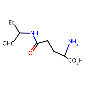 CCC(C=O)NC(=O)CCC(N)C(=O)O